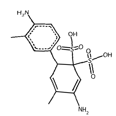 CC1=CC(c2ccc(N)c(C)c2)C(S(=O)(=O)O)(S(=O)(=O)O)C=C1N